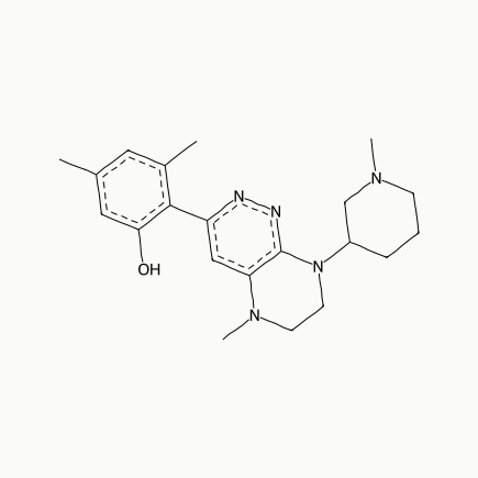 Cc1cc(C)c(-c2cc3c(nn2)N(C2CCCN(C)C2)CCN3C)c(O)c1